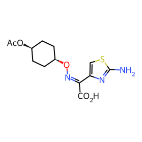 CC(=O)O[C@H]1CC[C@@H](ON=C(C(=O)O)c2csc(N)n2)CC1